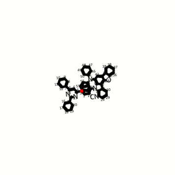 N#Cc1cc(-c2cc(-c3ccccc3)nc(-c3ccccc3)n2)ccc1-n1c2ccccc2c2c3oc4ccccc4c3cc(N(c3ccccc3)c3ccccc3)c21